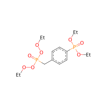 CCOOP(=O)(Cc1ccc(P(=O)(OCC)OCC)cc1)OOCC